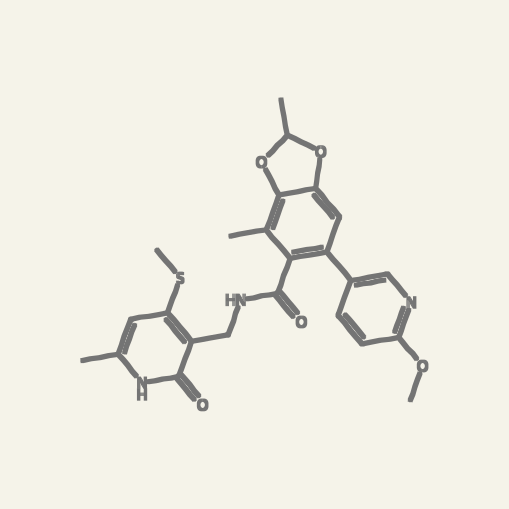 COc1ccc(-c2cc3c(c(C)c2C(=O)NCc2c(SC)cc(C)[nH]c2=O)OC(C)O3)cn1